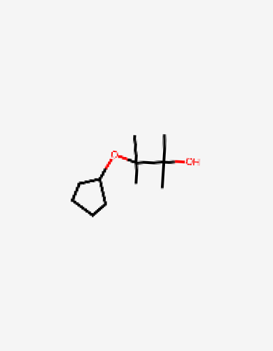 CC(C)(O)C(C)(C)OC1CCCC1